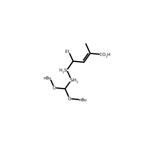 CCCCOC(OCCCC)[SiH2][SiH2]C(C=C(C)C(=O)O)CC